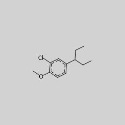 CCC(CC)c1ccc(OC)c(Cl)c1